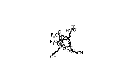 N#CCCO[PH](=O)OC(COCC(CCCNC(=O)C(F)(F)F)(CCCNC(=O)C(F)(F)F)CCCNC(=O)C(F)(F)F)COP(=O)(O)OCCCCCCO